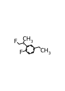 CCc1ccc(F)c([C](C)CF)c1